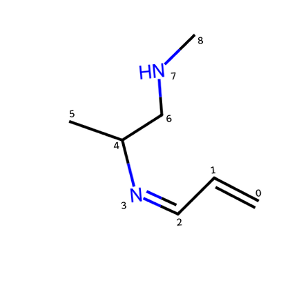 C=C/C=N\C(C)CNC